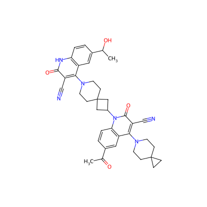 CC(=O)c1ccc2c(c1)c(N1CCC3(CC1)CC3)c(C#N)c(=O)n2C1CC2(CCN(c3c(C#N)c(=O)[nH]c4ccc(C(C)O)cc34)CC2)C1